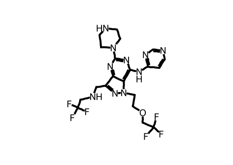 FC(F)(F)CNCc1nn(CCOCC(F)(F)F)c2c(Nc3ccncn3)nc(N3CCNCC3)nc12